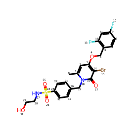 Cc1cc(OCc2ccc(F)cc2F)c(Br)c(=O)n1Cc1ccc(S(=O)(=O)NCCO)cc1